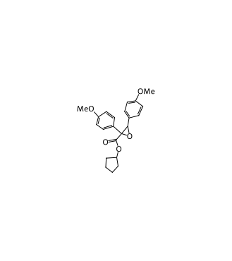 COc1ccc(C2OC2(C(=O)OC2CCCC2)c2ccc(OC)cc2)cc1